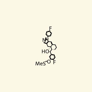 CSCOc1cc([C@H](O)[C@H]2CCCC3=Cc4c(cnn4-c4ccc(F)cc4)C[C@@]32C)ccc1F